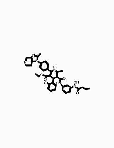 CCCC(=O)N(O)c1cccc(NC(=O)C2=C(C)NC(c3ccc(-n4c(C)nc5cnccc54)cc3)=C(C(=O)OCC)C2c2ccccc2Cl)c1